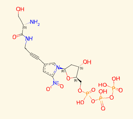 N[C@@H](CO)C(=O)NCC#Cc1cc([N+](=O)[O-])n([C@H]2C[C@H](O)[C@@H](COP(=O)(O)OP(=O)(O)OP(=O)(O)O)O2)c1